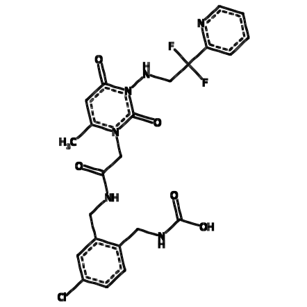 Cc1cc(=O)n(NCC(F)(F)c2ccccn2)c(=O)n1CC(=O)NCc1cc(Cl)ccc1CNC(=O)O